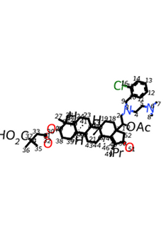 CC(=O)OC(CN(CCN(C)C)Cc1ccccc1Cl)C12CC[C@@]3(C)[C@@H]4CC[C@H]5C(C)(C)[C@@H](OC(=O)CC(C)(C)C(=O)O)CC[C@]5(C)[C@H]4CC[C@]3(C)C1=C(C(C)C)C(=O)C2